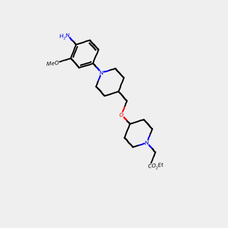 CCOC(=O)CN1CCC(OCC2CCN(c3ccc(N)c(OC)c3)CC2)CC1